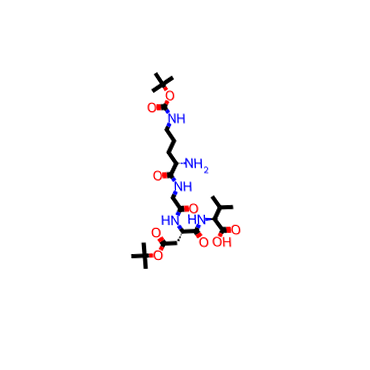 CC(C)[C@H](NC(=O)[C@H](CC(=O)OC(C)(C)C)NC(=O)CNC(=O)[C@@H](N)CCCNC(=O)OC(C)(C)C)C(=O)O